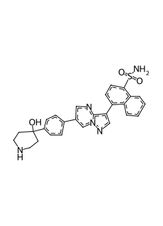 NS(=O)(=O)c1ccc(-c2cnn3cc(-c4ccc(C5(O)CCNCC5)cc4)cnc23)c2ccccc12